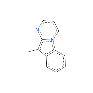 Cc1c2ccccc2n2cccnc12